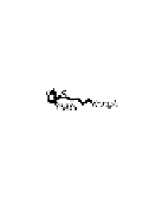 CCCCCCCCCCCSc1cscc1C=O